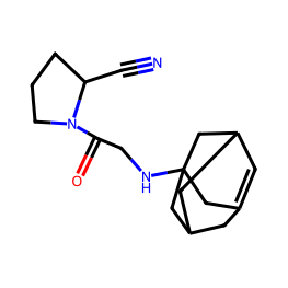 N#CC1CCCN1C(=O)CNC12CC3=CC(CC(C3)C1)C2